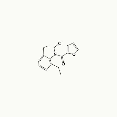 CCc1cccc(CC)c1N(CCl)C(=O)c1ccco1